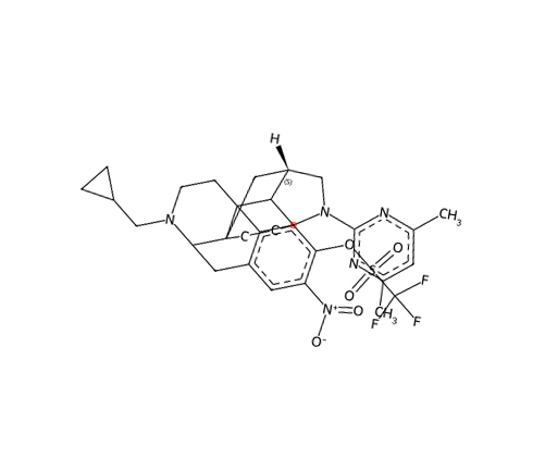 Cc1cc(C)nc(N2C[C@H]3CC45CCC2C3C42CCN(CC3CC3)C5Cc3cc([N+](=O)[O-])c(OS(=O)(=O)C(F)(F)F)cc32)n1